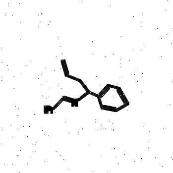 C=CCC(N=CC(C)C)c1ccccc1